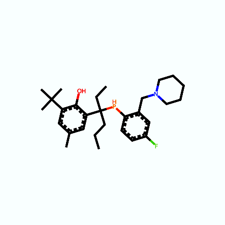 CCCC(CC)(Pc1ccc(F)cc1CN1CCCCC1)c1cc(C)cc(C(C)(C)C)c1O